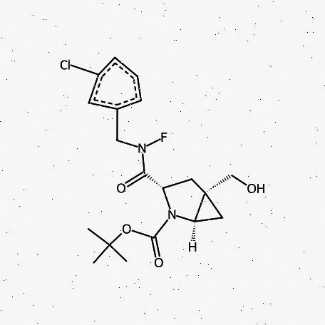 CC(C)(C)OC(=O)N1[C@H](C(=O)N(F)Cc2cccc(Cl)c2)C[C@@]2(CO)C[C@@H]12